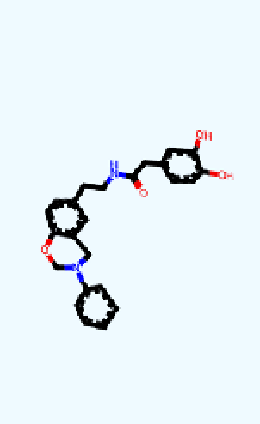 O=C(Cc1ccc(O)c(O)c1)NCCc1ccc2c(c1)CN(c1ccccc1)CO2